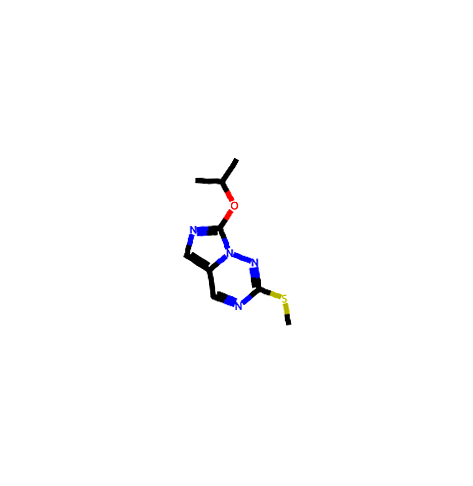 CSc1ncc2cnc(OC(C)C)n2n1